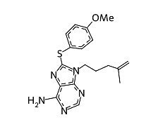 C=C(C)CCCn1c(Sc2ccc(OC)cc2)nc2c(N)ncnc21